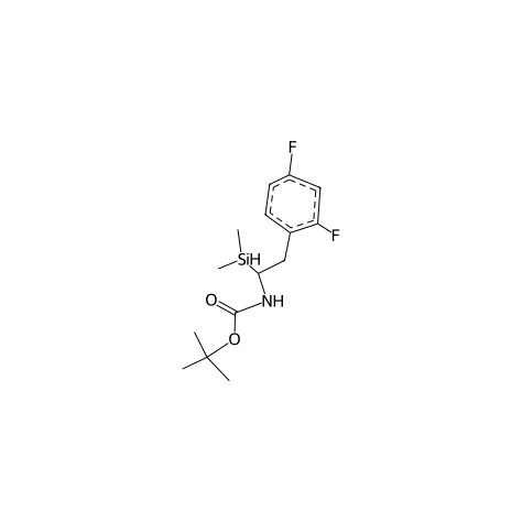 C[SiH](C)C(Cc1ccc(F)cc1F)NC(=O)OC(C)(C)C